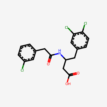 O=C(O)CC(Cc1ccc(Cl)c(Cl)c1)NC(=O)Cc1cccc(Cl)c1